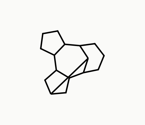 C1CC2C3CC4CC3C3CCCC(C2C1)C43